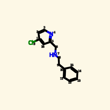 Clc1ccnc(CNCCc2ccccc2)c1